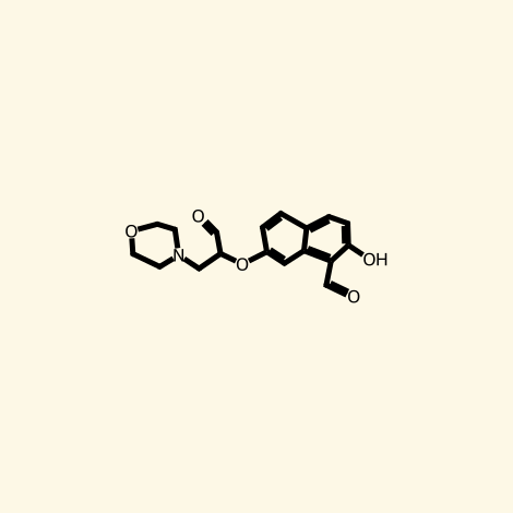 O=Cc1c(O)ccc2ccc(OC(C=O)CN3CCOCC3)cc12